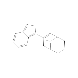 CN1C2C=C(c3scc4ccccc34)CC1CCC2